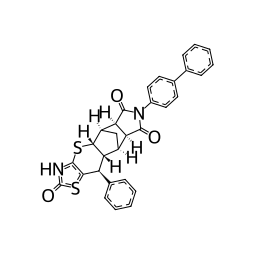 O=C1[C@@H]2[C@H]3C[C@@H]([C@@H]2C(=O)N1c1ccc(-c2ccccc2)cc1)[C@@H]1[C@@H](c2ccccc2)c2sc(=O)[nH]c2S[C@H]31